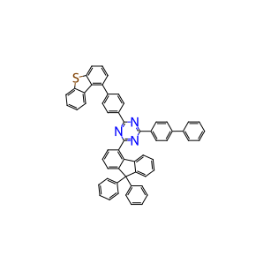 c1ccc(-c2ccc(-c3nc(-c4ccc(-c5cccc6sc7ccccc7c56)cc4)nc(-c4cccc5c4-c4ccccc4C5(c4ccccc4)c4ccccc4)n3)cc2)cc1